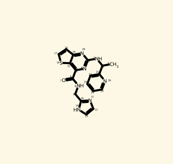 CC(Nc1nc(C(=O)NCc2ncc[nH]2)c2sccc2n1)c1ccccn1